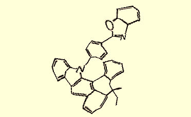 CC1(C)c2ccccc2-c2c3c1cccc3cc1c3ccccc3n(-c3ccc(C4=NC5C=CC=CC5O4)cc3)c21